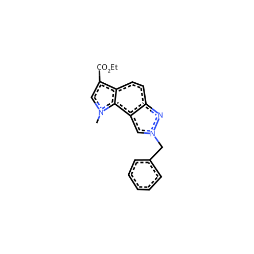 CCOC(=O)c1cn(C)c2c1ccc1nn(Cc3ccccc3)cc12